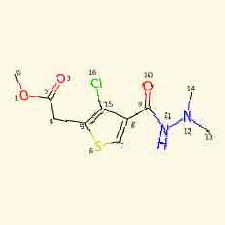 COC(=O)Cc1scc(C(=O)NN(C)C)c1Cl